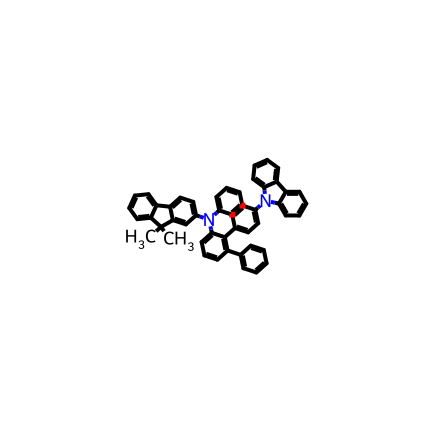 CC1(C)c2ccccc2-c2ccc(N(c3ccccc3)c3cccc(-c4ccccc4)c3-c3ccc(-n4c5ccccc5c5ccccc54)cc3)cc21